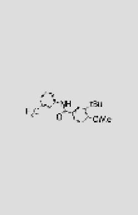 COc1ccc(C(=O)Nc2cccc(C(F)(F)F)c2)cc1C(C)(C)C